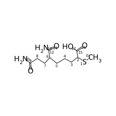 CSC(CCCC(CCC(N)=O)C(N)=O)C(=O)O